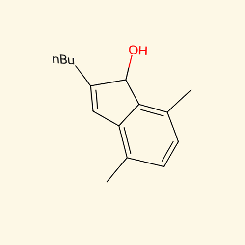 CCCCC1=Cc2c(C)ccc(C)c2C1O